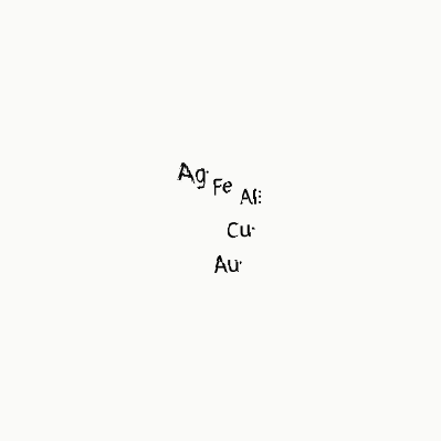 [Ag].[Al].[Au].[Cu].[Fe]